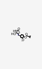 COc1cc(/C=C2\SC(=O)NC2O)ccc1OC(=O)C1CC1